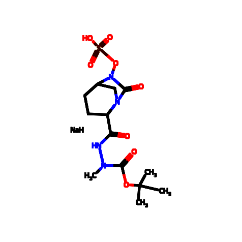 CN(NC(=O)C1CCC2CN1C(=O)N2OS(=O)(=O)O)C(=O)OC(C)(C)C.[NaH]